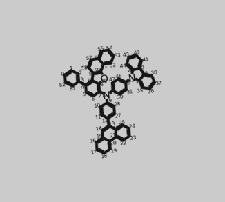 c1ccc(-c2ccc(N(c3ccc(-c4cc5ccccc5c5ccccc45)cc3)c3ccc(-n4c5ccccc5c5ccccc54)cc3)c3oc4c5ccccc5ccc4c23)cc1